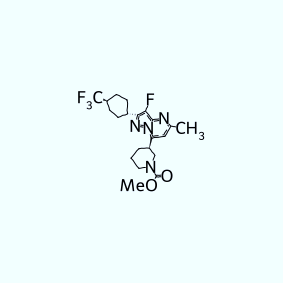 COC(=O)N1CCC[C@@H](c2cc(C)nc3c(F)c([C@H]4CC[C@H](C(F)(F)F)CC4)nn23)C1